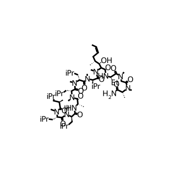 C/C=C\C[C@@H](C)[C@H](O)C(C(=O)N[C@@H](CC)C(=O)N(C)CC(=O)N(C)[C@H](C)C(N)=O)N(C)C(=O)[C@@H](C(C)C)N(C)C(=O)[C@@H](CC(C)C)N(C)C(=O)[C@@H](CC(C)C)N(C)C(=O)[C@H](C)NC(=O)[C@@H](CC(C)C)NC(=O)[C@H](CC(C)C)N(C)C(=O)[C@H](C)CC(C)C